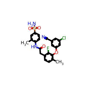 Cc1cc(S(N)(=O)=O)ccc1NC(=O)Cc1ccc(C)c(Oc2cc(Cl)cc(C#N)c2)c1F